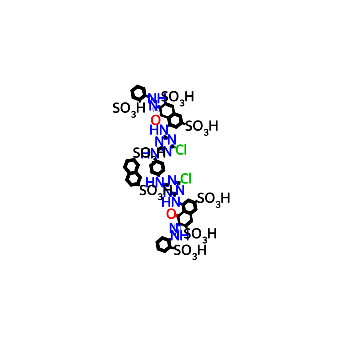 O=C1/C(=N/Nc2ccccc2S(=O)(=O)O)C(S(=O)(=O)O)=Cc2cc(S(=O)(=O)O)cc(Nc3nc(Cl)nc(Nc4ccc(Nc5nc(Cl)nc(Nc6cc(S(=O)(=O)O)cc7c6C(=O)/C(=N/Nc6ccccc6S(=O)(=O)O)C(S(=O)(=O)O)=C7)n5)cc4)n3)c21.O=S(=O)(O)c1ccc2ccc(S(=O)(=O)O)cc2c1